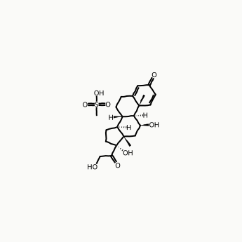 CS(=O)(=O)O.C[C@]12C=CC(=O)C=C1CC[C@@H]1[C@@H]2[C@@H](O)C[C@@]2(C)[C@H]1CC[C@]2(O)C(=O)CO